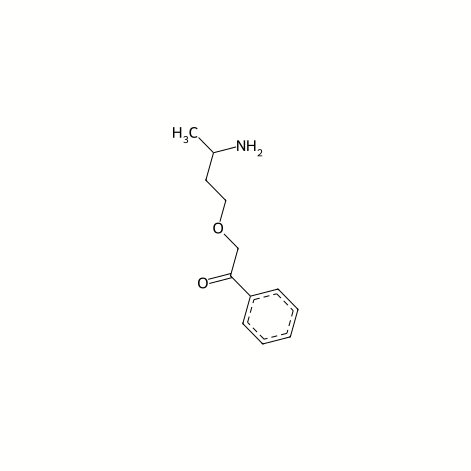 CC(N)CCOCC(=O)c1ccccc1